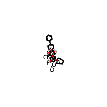 COCOc1c(F)cc(S(=O)(=O)N2CCC(c3ccccc3)CC2)cc1N1C2CCC1CN(C(=O)c1ccc(F)cc1Cl)C2